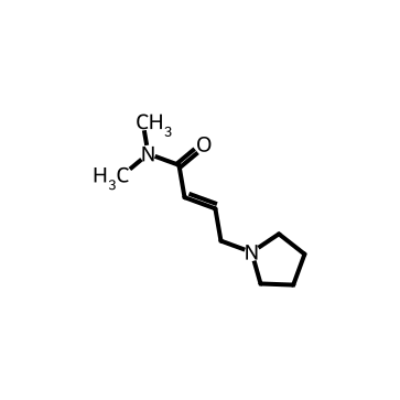 CN(C)C(=O)C=CCN1CCCC1